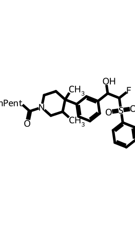 CCCCCC(=O)N1CCC(C)(c2cccc(C(O)C(F)S(=O)(=O)c3ccccc3)c2)C(C)C1